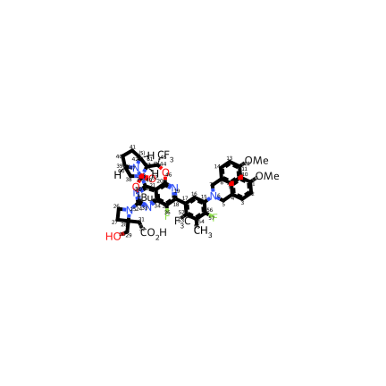 COc1ccc(CN(Cc2ccc(OC)cc2)c2cc(-c3nc4c5c(nc(N6CCC6(CO)CC(=O)O)nc5c3F)N3C[C@H]5CC[C@@H]([C@H]3[C@H](C(F)(F)F)O4)N5C(=O)OC(C)(C)C)c(C(F)(F)F)c(C)c2F)cc1